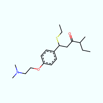 CCSC(CC(=O)C(C)CC)c1ccc(OCCN(C)C)cc1